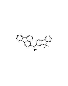 CC(C)N(c1ccc2c(c1)C(C)(C)c1ccccc1-2)c1ccc2c3c(cccc13)-c1ccccc1-2